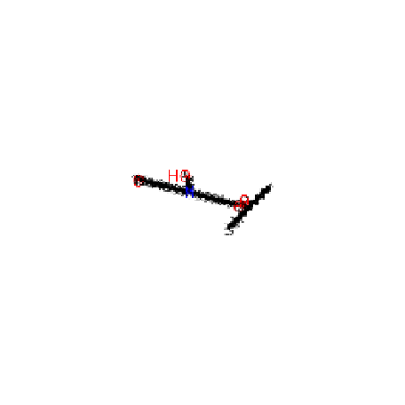 CCCCCCCCC(CCCCCCC)C(=O)OCCCCCCCCCCCCN(CCCO)CCCCCCCCCCCCOC